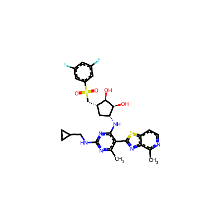 Cc1nc(NCC2CC2)nc(N[C@@H]2C[C@H](CS(=O)(=O)c3cc(F)cc(F)c3)[C@@H](O)[C@H]2O)c1-c1nc2c(C)nccc2s1